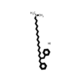 CN(C)CCCCCCCCCCCCCCCC(Cc1ccccc1)Cc1ccccc1.I